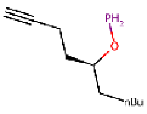 C#CCC[C@H](CCCCC)OP